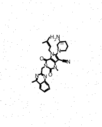 CC(C)=CCn1c(N2CCC[C@H](N)C2)c(C#N)c2c1c(=O)n(Cc1nc(C)c3ccccc3n1)c(=O)n2C